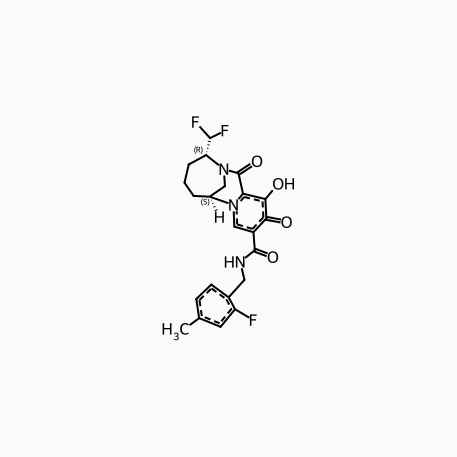 Cc1ccc(CNC(=O)c2cn3c(c(O)c2=O)C(=O)N2C[C@@H]3CCC[C@@H]2C(F)F)c(F)c1